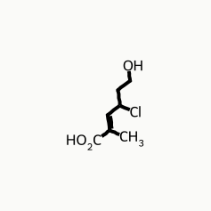 CC(=CC(Cl)CCO)C(=O)O